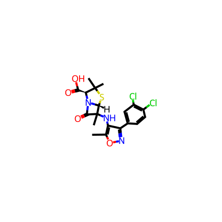 Cc1onc(-c2ccc(Cl)c(Cl)c2)c1NC1(C)C(=O)N2[C@@H](C(=O)O)C(C)(C)S[C@@H]21